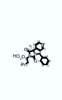 CC(C)C[C@H](C(=O)O)N1C(=O)N(Cc2ccccc2)[C@](C)(c2ccncc2)C1=O